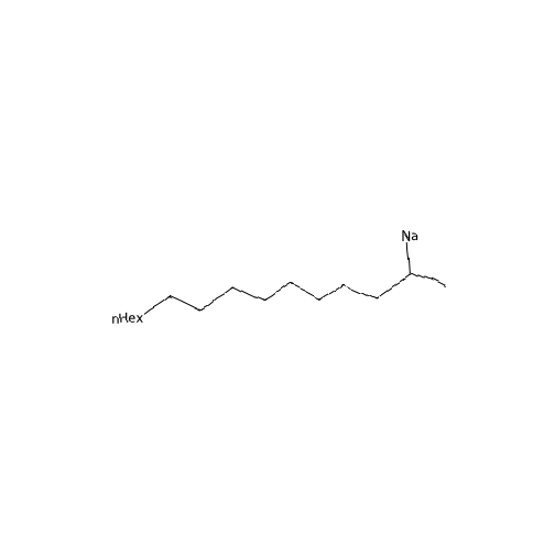 CCCCCCCCCCCCCC[CH](C)[Na]